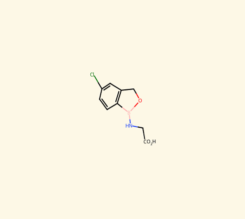 O=C(O)CNB1OCc2cc(Cl)ccc21